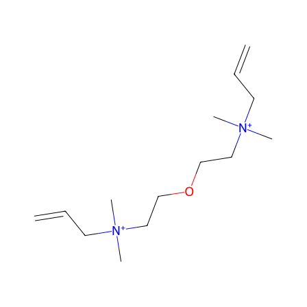 C=CC[N+](C)(C)CCOCC[N+](C)(C)CC=C